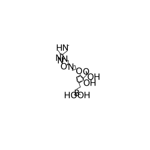 CNCc1c(C)nnn1CC(=O)N1CC(Oc2ccc(CCB(O)O)c(O)c2C(=O)O)C1